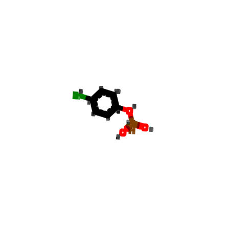 O=[SH](=O)Oc1ccc(Br)cc1